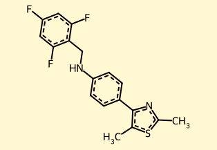 Cc1nc(-c2ccc(NCc3c(F)cc(F)cc3F)cc2)c(C)s1